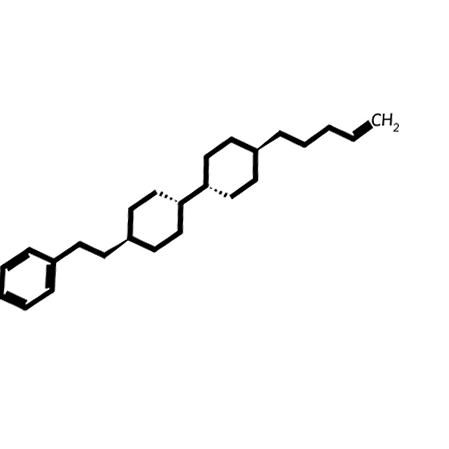 C=CCCC[C@H]1CC[C@H]([C@H]2CC[C@H](CCc3ccc(Cl)cc3)CC2)CC1